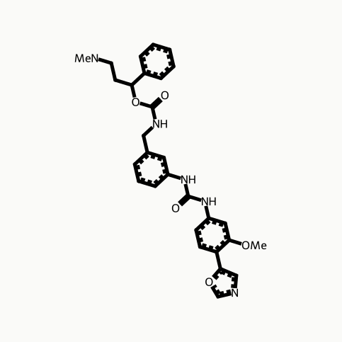 CNCCC(OC(=O)NCc1cccc(NC(=O)Nc2ccc(-c3cnco3)c(OC)c2)c1)c1ccccc1